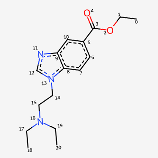 CCOC(=O)c1ccc2c(c1)ncn2CCN(CC)CC